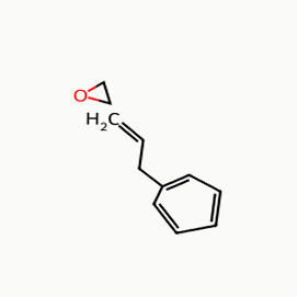 C1CO1.C=CCc1ccccc1